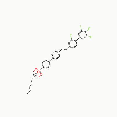 CCCCCC12COC(c3ccc(-c4ccc(CCc5ccc(-c6cc(F)c(F)c(F)c6)c(F)c5)cc4)cc3)(OC1)OC2